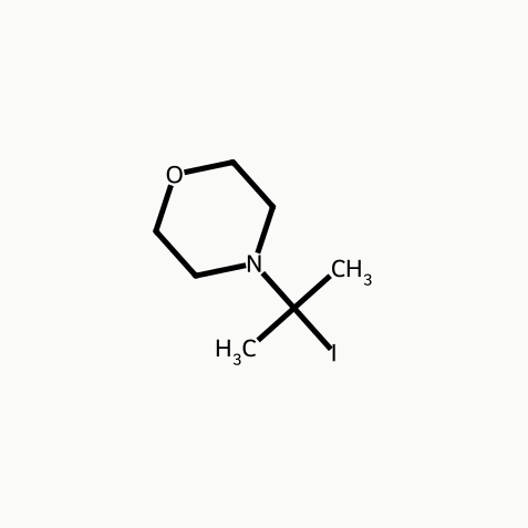 CC(C)(I)N1CCOCC1